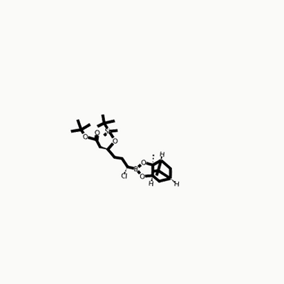 CC(C)(C)OC(=O)C[C@H](CC[C@@H](Cl)B1O[C@@H]2C[C@@H]3C[C@@H](C3(C)C)[C@]2(C)O1)O[Si](C)(C)C(C)(C)C